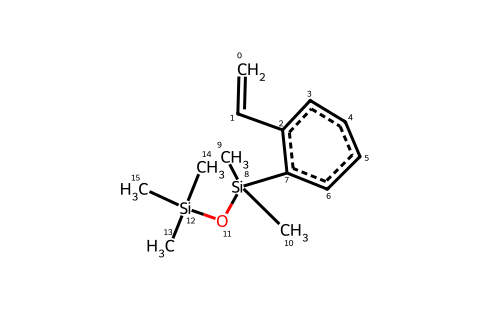 C=Cc1ccccc1[Si](C)(C)O[Si](C)(C)C